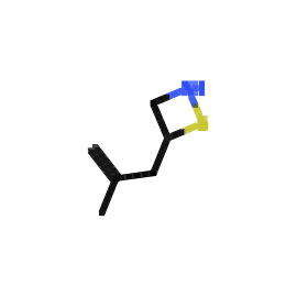 C=C(C)CC1CNS1